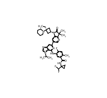 CC[C@]1(N2CCCCC2)C[C@@H](N2C(=O)C(C)(C)c3ncc(-c4cc5ncn(C(C)C)c5c(Nc5cc(C(=O)NC6(C(F)F)CC6)c(C)cc5F)n4)cc32)C1